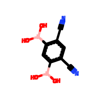 N#Cc1cc(C#N)c(B(O)O)cc1B(O)O